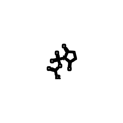 CCC(=O)OS(=O)(=O)N1C(=O)CCC1=O